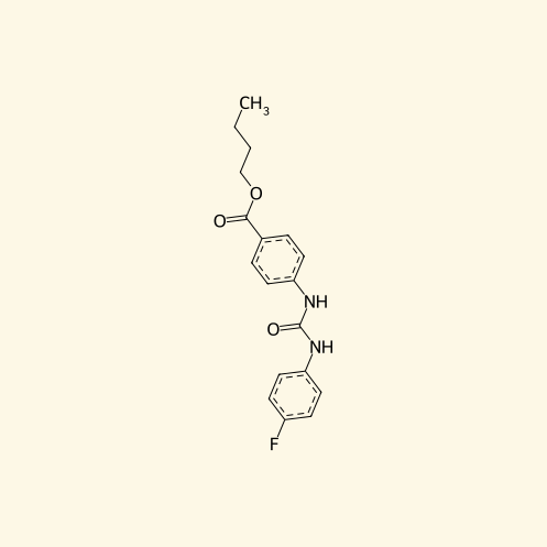 CCCCOC(=O)c1ccc(NC(=O)Nc2ccc(F)cc2)cc1